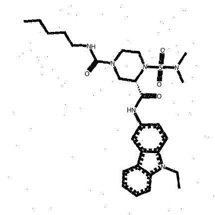 CCCCCNC(=O)N1CCN(S(=O)(=O)N(C)C)[C@H](C(=O)Nc2ccc3c(c2)c2ccccc2n3CC)C1